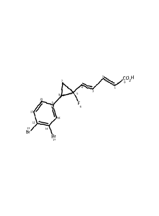 O=C(O)/C=C/C=C/C1(F)CC1c1ccc(Br)c(Br)c1